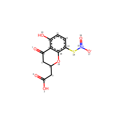 O=C(O)CC1CC(=O)c2c(O)ccc(S[N+](=O)[O-])c2O1